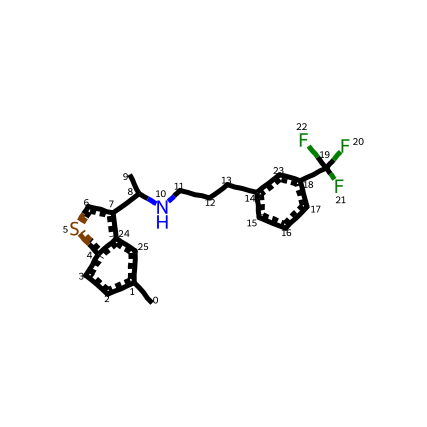 Cc1ccc2scc(C(C)NCCCc3cccc(C(F)(F)F)c3)c2c1